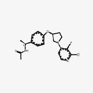 CC(=O)N[C@@H](C)c1ccc(OC2CCN(c3ccnc(Cl)c3F)C2)cc1